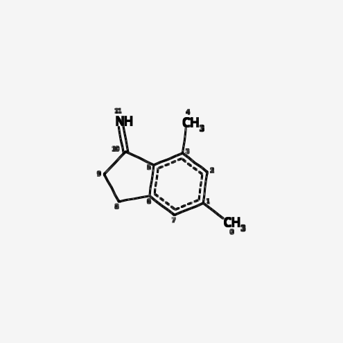 Cc1cc(C)c2c(c1)CCC2=N